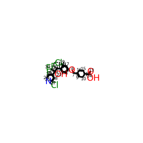 C[C@H](c1ccc(OCC2=CCC(C(=O)O)C=C2)cc1Cl)[C@@](O)(c1ccnc(Cl)c1)C(F)(F)F